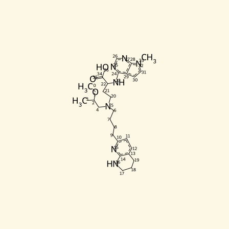 COC(C)CN(CCCCc1ccc2c(n1)NCCC2)CCC(Nc1ncnc2c1ccn2C)C(=O)O